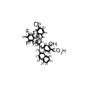 Cc1c(F)c(F)c(S(=O)(=O)N(CC(=O)N(Cc2ccc3ccccc3c2)c2ccc(C(=O)O)c(O)c2)Cc2ccc(Cl)cc2)c(F)c1F